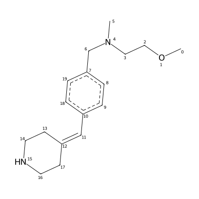 COCCN(C)Cc1ccc(C=C2CCNCC2)cc1